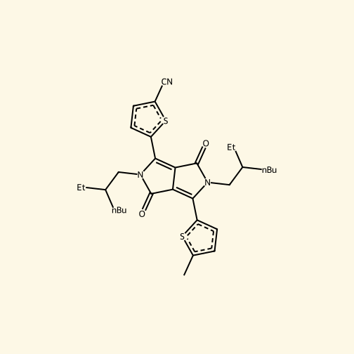 CCCCC(CC)CN1C(=O)C2=C(c3ccc(C#N)s3)N(CC(CC)CCCC)C(=O)C2=C1c1ccc(C)s1